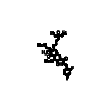 CCOP(=O)(CCCOC1Cn2cc(C(=O)NCc3ccc(F)cc3F)c(=O)c(OC)c2C(=O)C1(C)CCOC)OCC